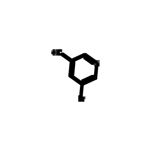 [CH]c1cncc(Br)c1